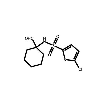 O=CC1(NS(=O)(=O)c2ccc(Cl)s2)CCCCC1